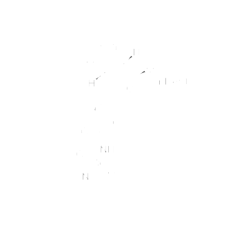 CCCCCCCO[C@H]1O[C@H]([C@@H](C)OC(=O)NS(=O)(=O)N2CCCCCC2)[C@@H]2OC(C)(C)O[C@H]12